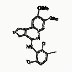 COc1cc2nc(Nc3c(Cl)ccc(C)c3Cl)c3cncn3c2cc1OC